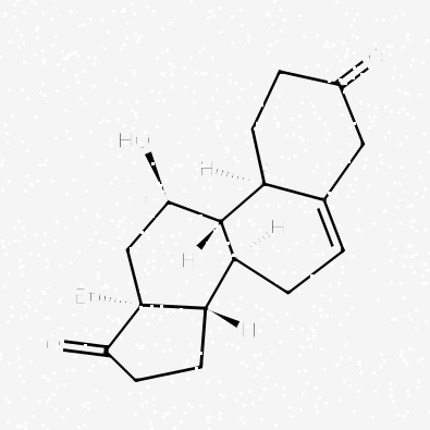 CC[C@]12C[C@@H](O)[C@H]3[C@@H](CC=C4CC(=O)CC[C@@H]43)[C@@H]1CCC2=O